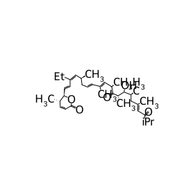 CCC(=C/[C@@H](C)C/C=C/C(C)=C/[C@@H](C)C(=O)[C@@H](C)C(O)[C@@H](C)C/C(C)=C/C(=O)C(C)C)/C=C/[C@H]1OC(=O)C=C[C@@H]1C